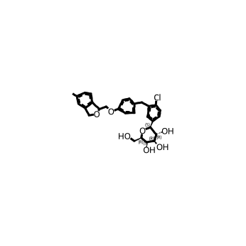 Cc1ccc2c(c1)COC2COc1ccc(Cc2cc([C@@H]3O[C@H](CO)[C@@H](O)[C@H](O)[C@H]3O)ccc2Cl)cc1